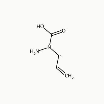 C=C[CH]N(N)C(=O)O